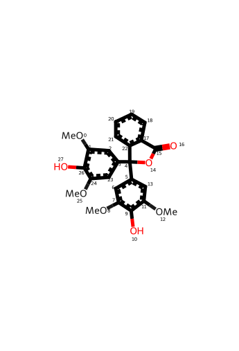 COc1cc(C2(c3cc(OC)c(O)c(OC)c3)OC(=O)c3ccccc32)cc(OC)c1O